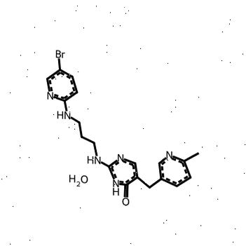 Cc1ccc(Cc2cnc(NCCCNc3ccc(Br)cn3)[nH]c2=O)cn1.O